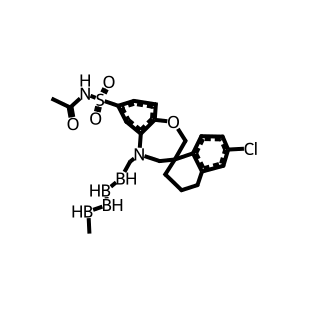 CBBBBCN1CC2(CCCc3cc(Cl)ccc32)COc2ccc(S(=O)(=O)NC(C)=O)cc21